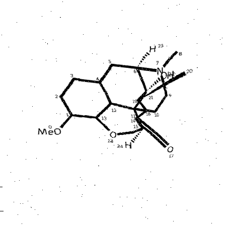 COC1CCC2C[C@H]3N(C)CCC45C2C1O[C@H]4C(=O)C[C@@H](C)[C@@]35O